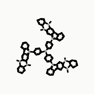 CN1c2ccccc2N(C)c2cc3c(cc21)c1ccccc1n3-c1ccc(N(c2ccc(-n3c4ccccc4c4cc5c(cc43)N(C)c3ccccc3N5C)cc2)c2ccc(-n3c4ccccc4c4cc5c(cc43)N(C)c3ccccc3N5C)cc2)cc1